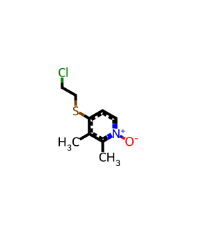 Cc1c(SCCCl)cc[n+]([O-])c1C